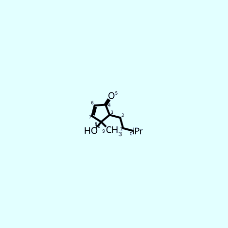 CC(C)CCC1C(=O)C=CC1(C)O